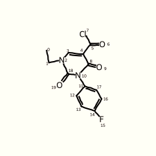 CCn1cc(C(=O)Cl)c(=O)n(-c2ccc(F)cc2)c1=O